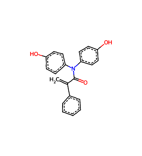 C=C(C(=O)N(c1ccc(O)cc1)c1ccc(O)cc1)c1ccccc1